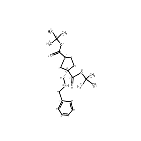 CC(C)(C)OC(=O)N1CC[C@@](CNCc2ccccc2)(C(=O)OC(C)(C)C)C1